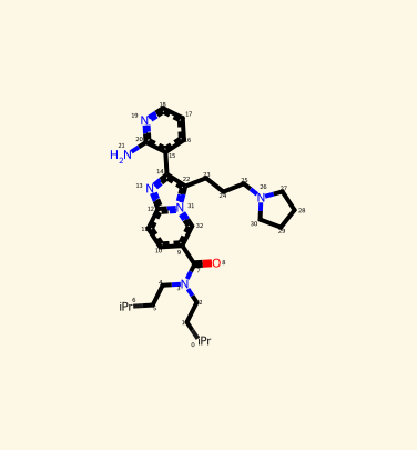 CC(C)CCN(CCC(C)C)C(=O)c1ccc2nc(-c3cccnc3N)c(CCCN3CCCC3)n2c1